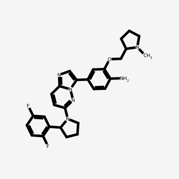 CN1CCCC1COc1cc(-c2cnc3ccc(N4CCCC4c4cc(F)ccc4F)nn23)ccc1N